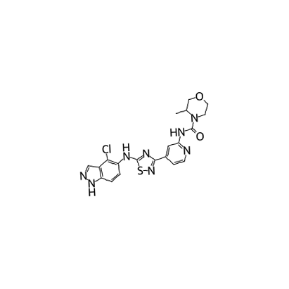 CC1COCCN1C(=O)Nc1cc(-c2nsc(Nc3ccc4[nH]ncc4c3Cl)n2)ccn1